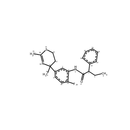 CCC(C(=O)Nc1cc(C2(C)CCSC(N)=N2)ccc1F)c1ccccc1